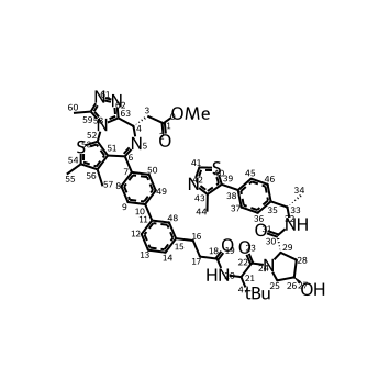 COC(=O)C[C@@H]1N=C(c2ccc(-c3cccc(CCC(=O)NC(C(=O)N4C[C@H](O)C[C@H]4C(=O)N[C@@H](C)c4ccc(-c5scnc5C)cc4)C(C)(C)C)c3)cc2)c2c(sc(C)c2C)-n2c(C)nnc21